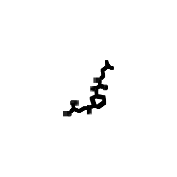 CN(C)CCNC(=O)Nc1cccc(NCCC(O)O)c1